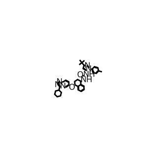 Cc1ccc(-n2nc(C(C)(C)C)cc2NC(=O)NC2CCC(Oc3ccc4nnc(C5CCCCC5)n4c3)c3ccccc32)cc1